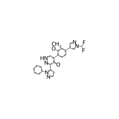 COc1cc(-c2cnn(C(F)F)c2)ccc1-c1c[nH]nc(-c2ccnn2-c2ccccc2)c1=O